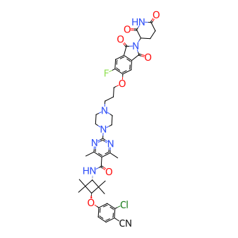 Cc1nc(N2CCN(CCCOc3cc4c(cc3F)C(=O)N(C3CCC(=O)NC3=O)C4=O)CC2)nc(C)c1C(=O)N[C@H]1C(C)(C)[C@H](Oc2ccc(C#N)c(Cl)c2)C1(C)C